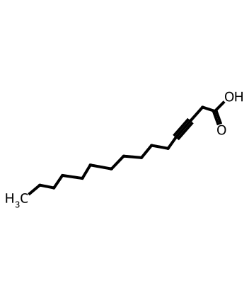 CCCCCCCCCCCC#CCC(=O)O